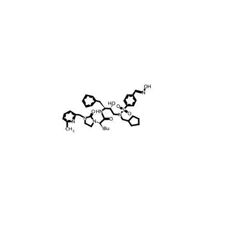 CC[C@H](C)[C@@H](C(=O)N[C@@H](Cc1ccccc1)[C@H](O)CN(CC1CCCC1)S(=O)(=O)c1ccc(C=NO)cc1)N1CCN(Cc2cccc(C)n2)C1=O